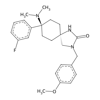 COc1ccc(CN2C[C@]3(CC[C@](c4cccc(F)c4)(N(C)C)CC3)NC2=O)cc1